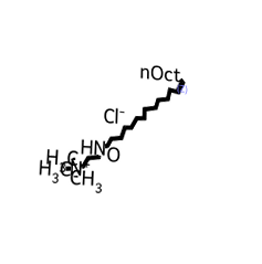 CCCCCCCC/C=C\CCCCCCCCCCCC(=O)NCCC[N+](C)(C)C.[Cl-]